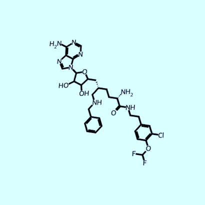 Nc1ncnc2c1ncn2C1OC(C[C@H](CC[C@H](N)C(=O)NCCc2ccc(OC(F)F)c(Cl)c2)CNCc2ccccc2)C(O)C1O